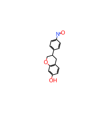 O=Nc1ccc(C2COc3cc(O)ccc3C2)cc1